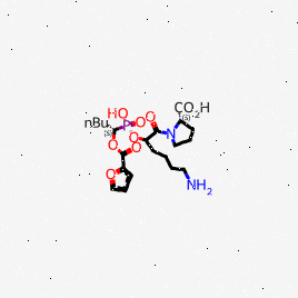 CCCC[C@@H](OC(=O)c1ccco1)P(=O)(O)OC(CCCCN)C(=O)N1CCC[C@H]1C(=O)O